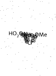 COc1ccc(-c2ccc(Cl)cc2)c(COc2ccc(-c3nc4cc(C(=O)O)ccc4n3C3CC[S+]([O-])CC3)cc2)c1